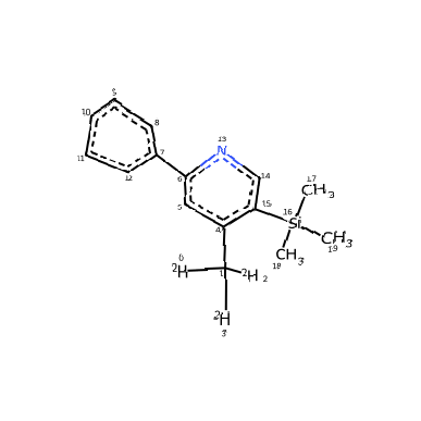 [2H]C([2H])([2H])c1cc(-c2ccccc2)ncc1[Si](C)(C)C